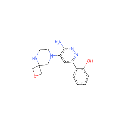 Nc1nnc(-c2ccccc2O)cc1N1CCNC2(COC2)C1